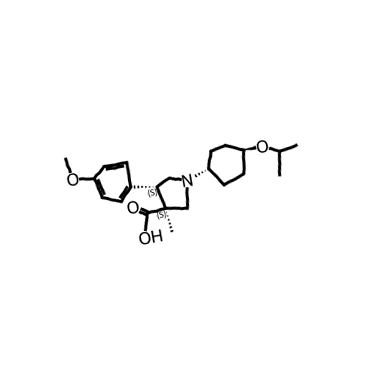 COc1ccc([C@@H]2CN([C@H]3CC[C@H](OC(C)C)CC3)C[C@@]2(C)C(=O)O)cc1